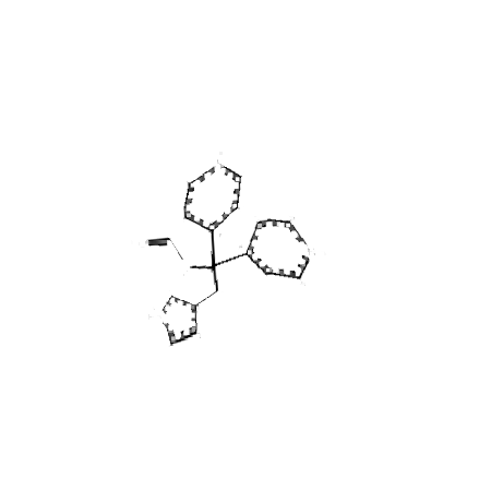 O=COC(Cc1cc[nH]c1)(c1ccncc1)c1ccncc1